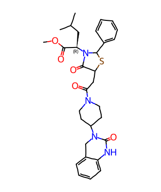 COC(=O)[C@@H](CC(C)C)N1C(=O)C(CC(=O)N2CCC(N3Cc4ccccc4NC3=O)CC2)SC1c1ccccc1